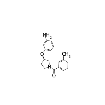 Cc1cccc(C(=O)N2CC[C@@H](Oc3cccc(N)c3)C2)c1